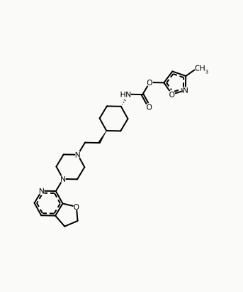 Cc1cc(OC(=O)N[C@H]2CC[C@H](CCN3CCN(c4nccc5c4OCC5)CC3)CC2)on1